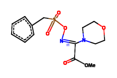 COC(=O)/C(=N/OS(=O)(=O)Cc1ccccc1)N1CCOCC1